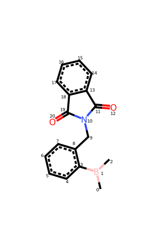 CB(C)c1ccccc1CN1C(=O)c2ccccc2C1=O